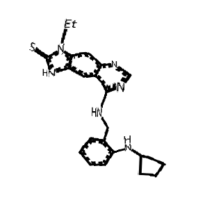 CCn1c(=S)[nH]c2cc3c(NCc4ccccc4NC4CCC4)ncnc3cc21